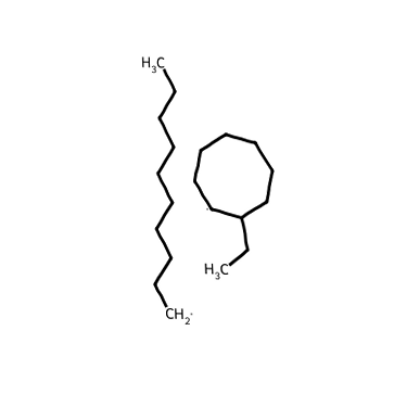 CCC1[CH]CCCCCC1.[CH2]CCCCCCCCC